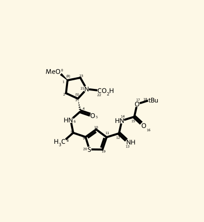 CO[C@@H]1C[C@@H](C(=O)NC(C)c2cc(C(=N)NC(=O)OC(C)(C)C)cs2)N(C(=O)O)C1